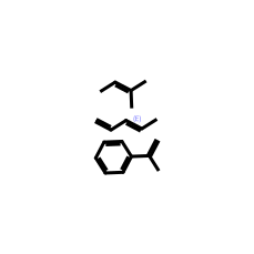 C=C(C)c1ccccc1.C=C/C=C/C.CC=C(C)C